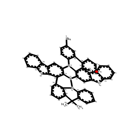 CC(C)(C)c1ccc(N2c3cc4c(cc3B3c5c2cc2c(sc6ccccc62)c5-c2cccc5c2N3c2ccccc2C5(C)C)oc2ccccc24)c(-c2ccccc2)c1